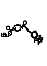 CC(C)(C)OC(=O)N1CCN(C(=O)C#Cc2ccc(S(F)(F)(F)(F)F)cc2)CC1